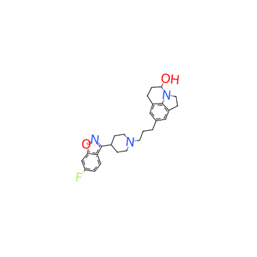 OC1CCc2cc(CCCN3CCC(c4noc5cc(F)ccc45)CC3)cc3c2N1CC3